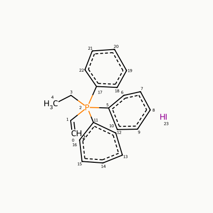 C=CP(CC)(c1ccccc1)(c1ccccc1)c1ccccc1.I